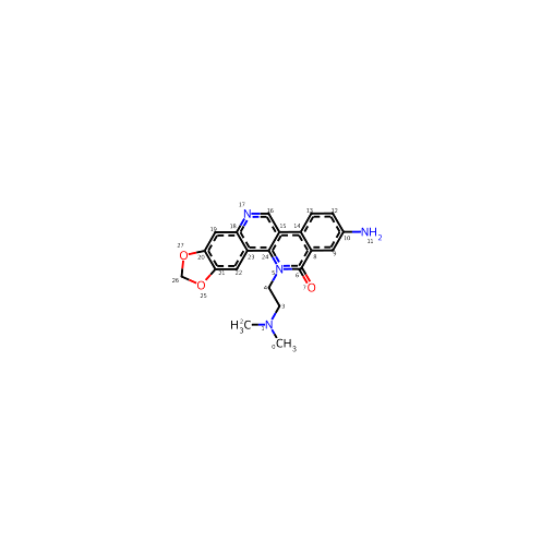 CN(C)CCn1c(=O)c2cc(N)ccc2c2cnc3cc4c(cc3c21)OCO4